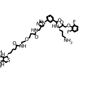 NCCCC[C@H](NC(=O)c1cccc(-n2cc(CNC(=O)CCOCCNC(=O)CCCC[C@@H]3SC[C@@H]4NC(=O)N[C@@H]43)nn2)c1)C(=O)COc1c(F)cccc1F